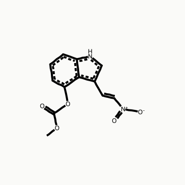 COC(=O)Oc1cccc2[nH]cc(C=C[N+](=O)[O-])c12